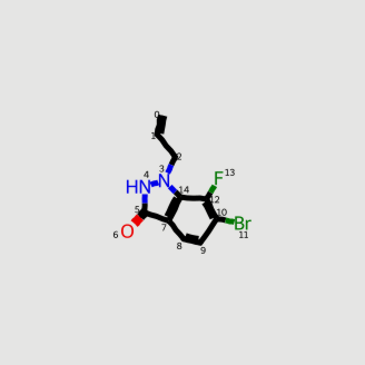 C=CCn1[nH]c(=O)c2ccc(Br)c(F)c21